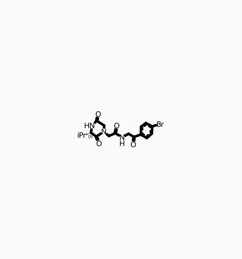 CC(C)[C@@H]1NC(=O)CN(CC(=O)NCC(=O)c2ccc(Br)cc2)C1=O